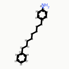 Nc1ccc(CCCCCCCCc2ccccc2)cc1